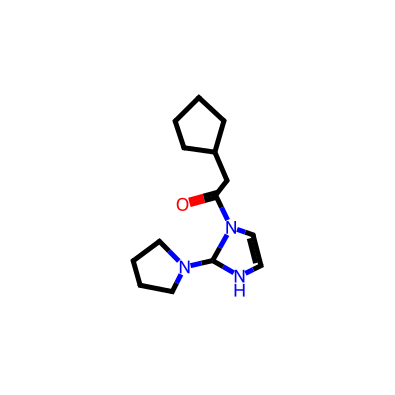 O=C(CC1CCCC1)N1C=CNC1N1CCCC1